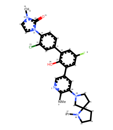 CNc1ncc(-c2cc(F)cc(-c3ccc(-n4ccn(C)c4=O)c(Cl)c3)c2O)cc1N1CCC2(CCCN2C(C)C)C1